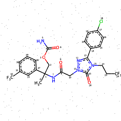 CC(COC(N)=O)(NC(=O)Cn1nc(-c2ccc(Cl)cc2)n(CCC(F)(F)F)c1=O)c1cccc(C(F)(F)F)c1